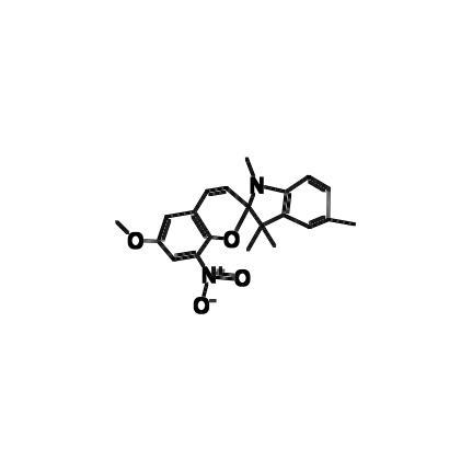 COc1cc2c(c([N+](=O)[O-])c1)OC1(C=C2)N(C)c2ccc(C)cc2C1(C)C